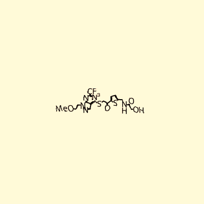 COCCn1ncc2c(SCC(=O)c3ccc(CNC(=O)CO)s3)nc(C(F)(F)F)nc21